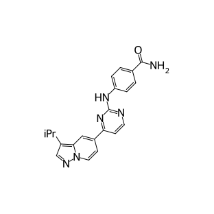 CC(C)c1cnn2ccc(-c3ccnc(Nc4ccc(C(N)=O)cc4)n3)cc12